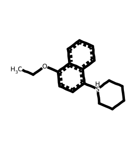 CCOc1ccc([SH]2CCCCC2)c2ccccc12